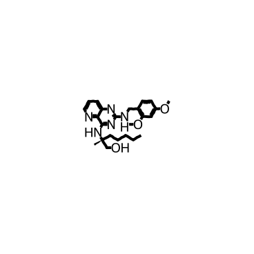 CCCCC[C@](C)(CO)Nc1nc(NCc2ccc(OC)cc2OC)nc2cccnc12